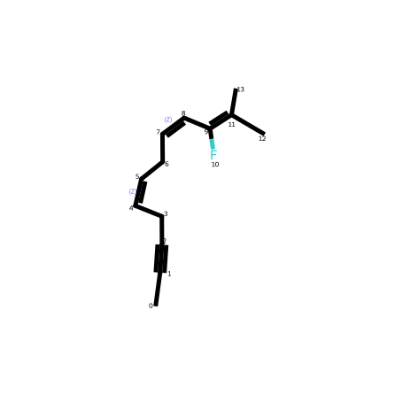 CC#CC/C=C\C/C=C\C(F)=C(C)C